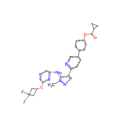 Cn1ncc(-c2ccc(-c3ccc(OC(=O)C4CC4)cc3)cn2)c1Nc1cncc(OC2CC(F)(F)C2)n1